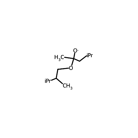 CC(C)CC(C)([O])OCC(C)C(C)C